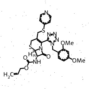 C=CCOC(=O)N[C@@H]1C(=O)N2C(c3nnnn3Cc3ccc(OC)cc3OC)=C(CSc3ccncc3)CS[C@H]12